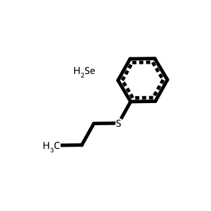 CCCSc1ccccc1.[SeH2]